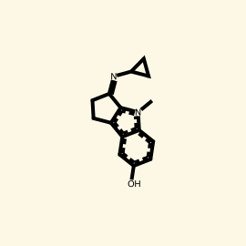 Cn1c2c(c3cc(O)ccc31)CC/C2=N/C1CC1